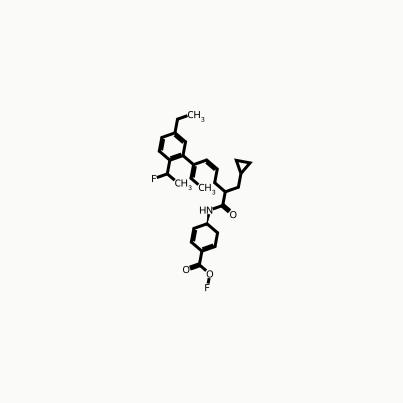 C/C=C(\C=C/CC(CC1CC1)C(=O)N[C@@H]1C=CC(C(=O)OF)=CC1)c1cc(CC)ccc1C(C)F